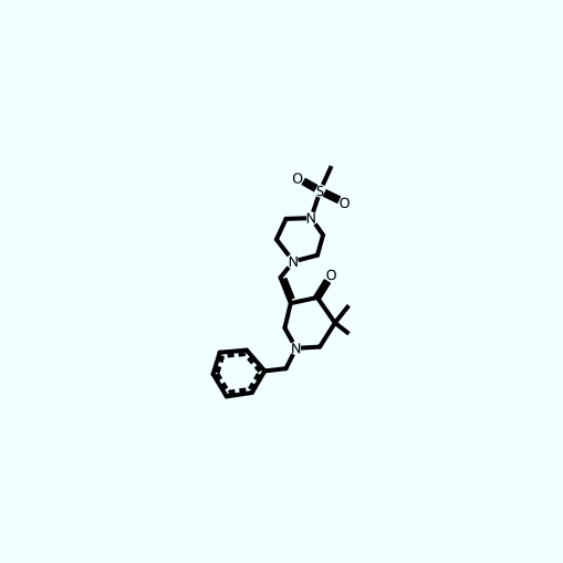 CC1(C)CN(Cc2ccccc2)CC(=CN2CCN(S(C)(=O)=O)CC2)C1=O